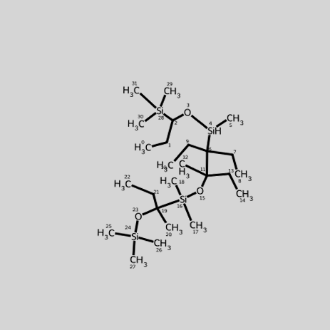 CCC(O[SiH](C)C(CC)(CC)C(C)(CC)O[Si](C)(C)C(C)(CC)O[Si](C)(C)C)[Si](C)(C)C